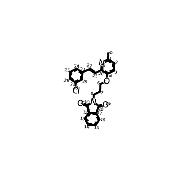 Cc1ccc(OCCCN2C(=O)c3ccccc3C2=O)c(C=Cc2cccc(Cl)c2)n1